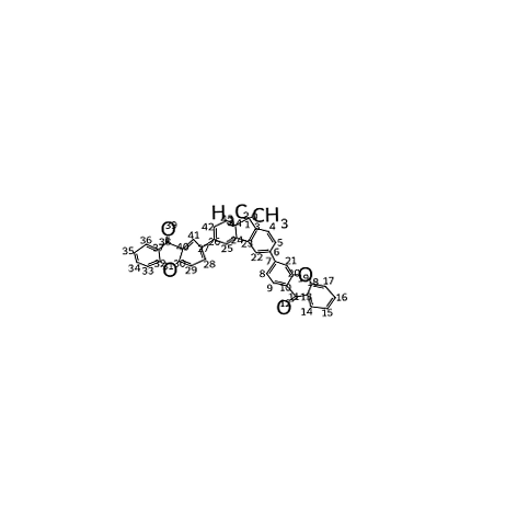 CC1(C)c2ccc(-c3ccc4c(=O)c5ccccc5oc4c3)cc2-c2cc(-c3ccc4oc5ccccc5c(=O)c4c3)ccc21